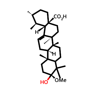 CO[C@@]1(O)CC[C@@]2(C)C(CC[C@]3(C)[C@@H]2CC=C2[C@@H]4[C@@H](C)[C@H](C)CC[C@]4(C(=O)O)CC[C@]23C)C1(C)C